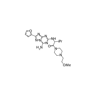 COCCN1CCN(C(=O)C(Nc2nc(N)n3nc(-c4ccco4)nc3n2)C(C)C)CC1